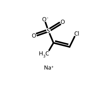 CC(=CCl)S(=O)(=O)[O-].[Na+]